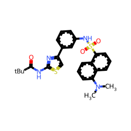 CN(C)c1cccc2c(S(=O)(=O)Nc3cccc(-c4csc(NC(=O)C(C)(C)C)n4)c3)cccc12